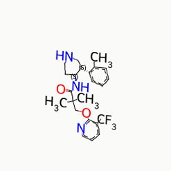 Cc1ccccc1[C@H]1CNCC[C@@H]1NC(=O)C(C)(C)COc1ncccc1C(F)(F)F